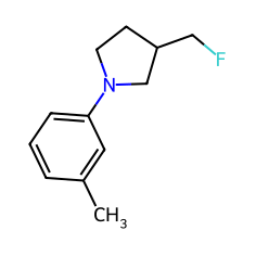 Cc1cccc(N2CCC(CF)C2)c1